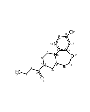 CCCC(=O)N1CCN2c3ncc(Cl)cc3OCCC2C1